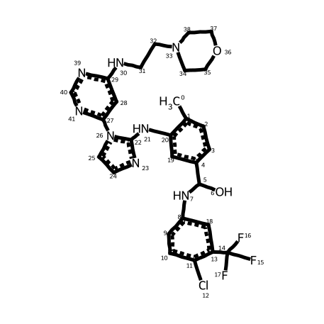 Cc1ccc(C(O)Nc2ccc(Cl)c(C(F)(F)F)c2)cc1Nc1nccn1-c1cc(NCCN2CCOCC2)ncn1